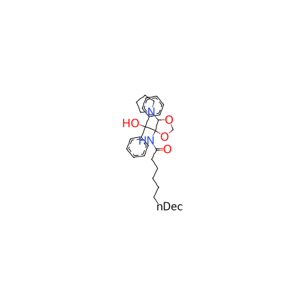 CCCCCCCCCCCCCCCC(=O)NC1(C(O)(c2ccccc2)c2ccccc2)OCOC1N1CCCC1